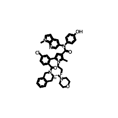 Cc1c(C(=O)N(c2ccc(O)cc2)c2cnc3c(ccn3C)c2)cc(-c2cc(Cl)ccc2C(=O)N2Cc3ccccc3C[C@H]2CN2CCOCC2)n1CCF